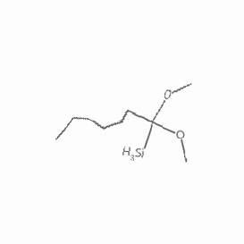 CCCCC([SiH3])(OC)OC